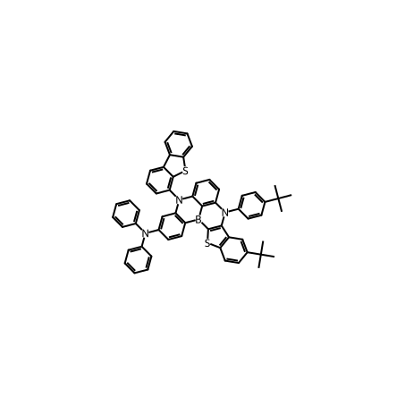 CC(C)(C)c1ccc(N2c3cccc4c3B(c3ccc(N(c5ccccc5)c5ccccc5)cc3N4c3cccc4c3sc3ccccc34)c3sc4ccc(C(C)(C)C)cc4c32)cc1